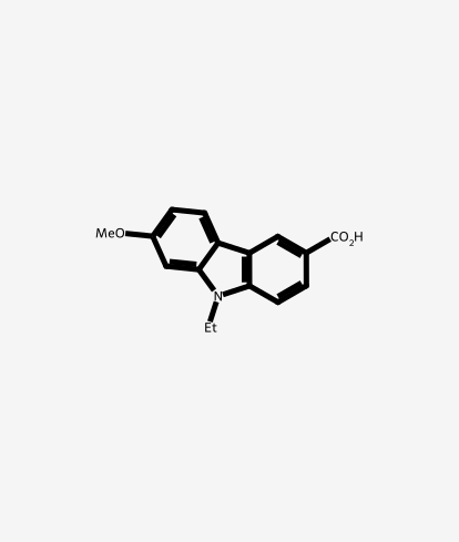 CCn1c2ccc(C(=O)O)cc2c2ccc(OC)cc21